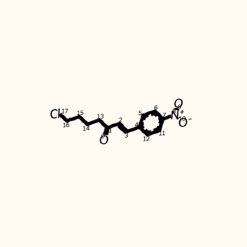 O=C(/C=C/c1ccc([N+](=O)[O-])cc1)CCCCCl